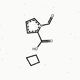 C1CCC1.O=Cn1cccc1C(=O)O